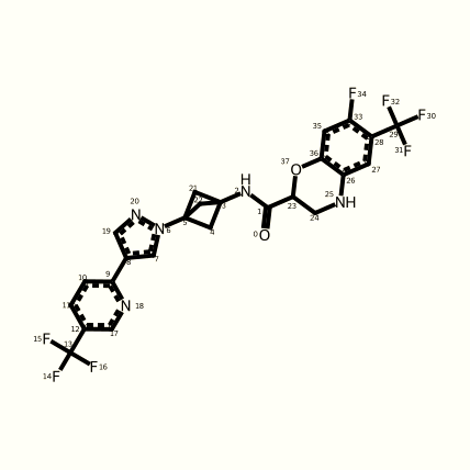 O=C(NC12CC(n3cc(-c4ccc(C(F)(F)F)cn4)cn3)(C1)C2)C1CNc2cc(C(F)(F)F)c(F)cc2O1